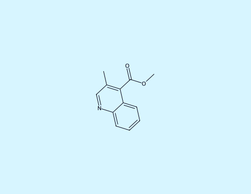 COC(=O)c1c(C)cnc2ccccc12